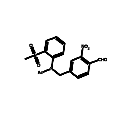 CC(=O)N(Cc1ccc(C=O)c([N+](=O)[O-])c1)c1ccccc1S(C)(=O)=O